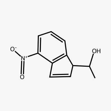 CC(O)C1C=Cc2c1cccc2[N+](=O)[O-]